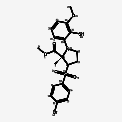 COC(=O)[C@]1(C)C(S(=O)(=O)c2ccc(Br)cc2)CCN1c1cccc(OC)c1S